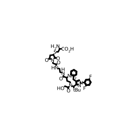 CC(C)(C)C(c1nn(-c2cc(F)ccc2F)cc1Cc1ccccc1)N(CCC(N)C(=O)NCCNC(=O)CN1C(=O)CC(SCC(N)C(=O)O)C1=O)C(=O)CO